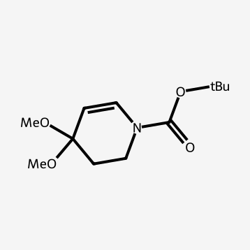 COC1(OC)C=CN(C(=O)OC(C)(C)C)CC1